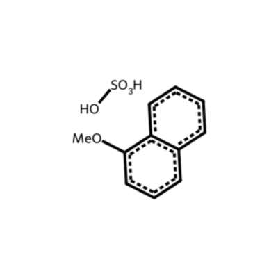 COc1cccc2ccccc12.O=S(=O)(O)O